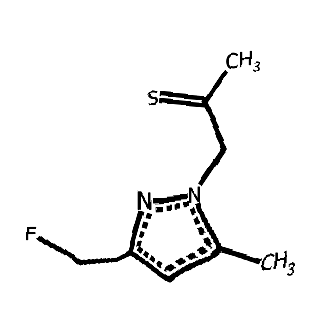 CC(=S)Cn1nc(CF)cc1C